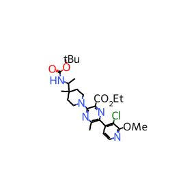 CCOC(=O)c1nc(-c2ccnc(OC)c2Cl)c(C)nc1N1CCC(C)(C(C)NC(=O)OC(C)(C)C)CC1